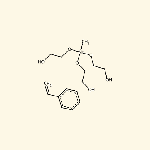 C=Cc1ccccc1.C[N+](OCCO)(OCCO)OCCO